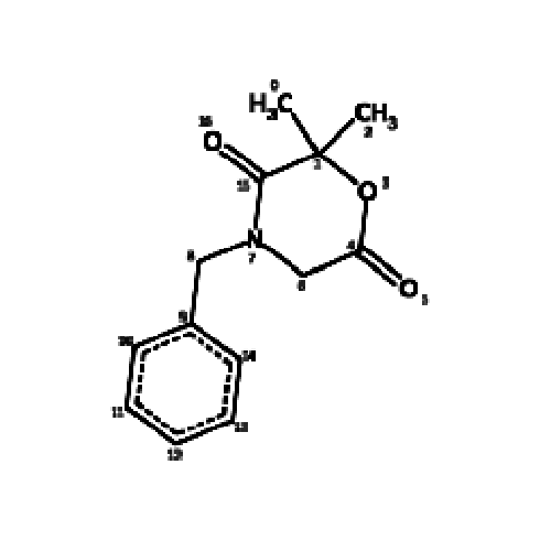 CC1(C)OC(=O)CN(Cc2ccccc2)C1=O